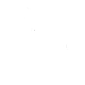 CCCCc1cc(OCC2(F)CO2)ccc1Cl